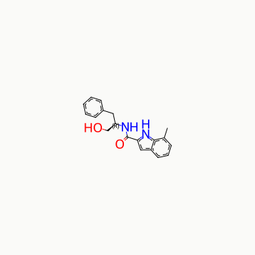 Cc1cccc2cc(C(=O)N[C@@H](CO)Cc3ccccc3)[nH]c12